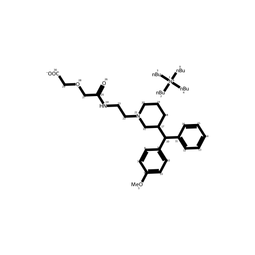 CCCC[N+](CCCC)(CCCC)CCCC.COc1ccc(C(c2ccccc2)C2CCCN(CCNC(=O)COCC(=O)[O-])C2)cc1